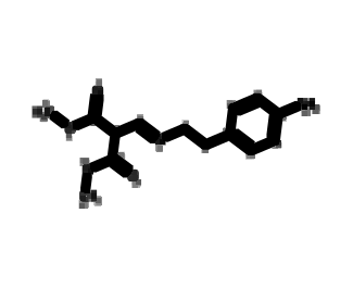 COC(=O)C(/C=N/CCc1ccc(N)cc1)C(=O)OC